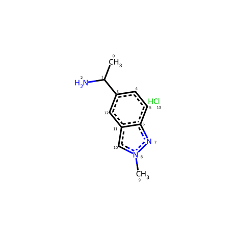 CC(N)c1ccc2nn(C)cc2c1.Cl